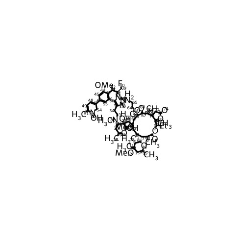 CC[C@H]1OC(=O)[C@H](C)C([C@H]2C[C@@](C)(OC)C[C@H](C)O2)[C@H](C)C[C@](C[C@]2(O)[C@H](O)O[C@H](C)C[C@@H]2N(C)CCc2cn([C@H](CF)[C@H](OC)c3ccc(C4=CC=C(C)N(O)C4)cc3)nn2)(OC)C[C@@](C)(OCCN)C(=O)[C@H](C)[C@H]2CC(=O)O[C@@]21C